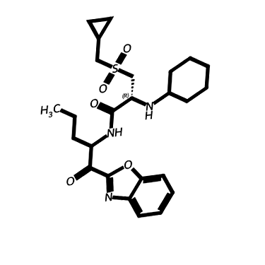 CCCC(NC(=O)[C@H](CS(=O)(=O)CC1CC1)NC1CCCCC1)C(=O)c1nc2ccccc2o1